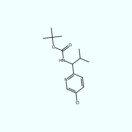 CC(C)C(NC(=O)OC(C)(C)C)c1ccc(Cl)cn1